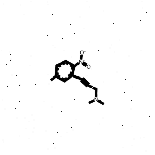 Cc1ccc([N+](=O)[O-])c(C#CCN(C)C)c1